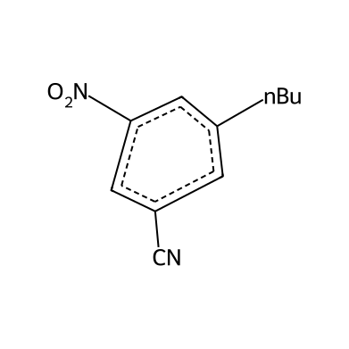 CCCCc1cc(C#N)cc([N+](=O)[O-])c1